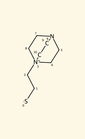 [S]CC[N+]12CCN(CC1)CC2